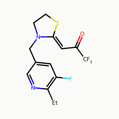 CCc1ncc(CN2CCS/C2=C\C(=O)C(F)(F)F)cc1F